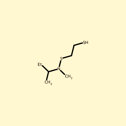 CCC(C)N(C)SCCS